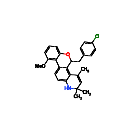 COc1cccc2c1-c1ccc3c(c1C(Cc1ccc(Cl)cc1)O2)C(C)=CC(C)(C)N3